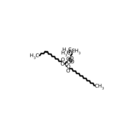 CCCC/C=C\CCCCCCCC(=O)O[C@H](COC(=O)CCCCCCCCCCCCCCC)COP(=O)([O-])OCC[N+](C)(C)C